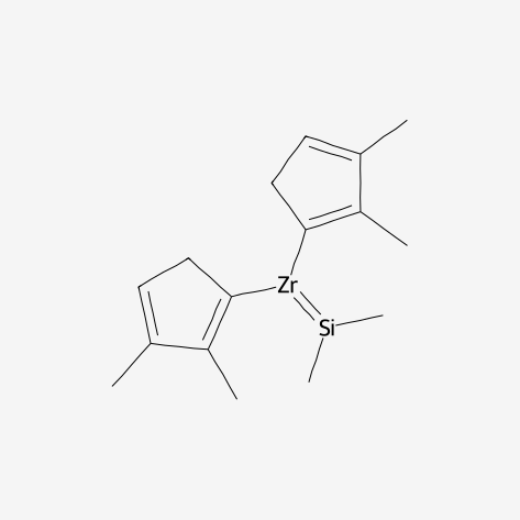 CC1=CC[C]([Zr]([C]2=C(C)C(C)=CC2)=[Si](C)C)=C1C